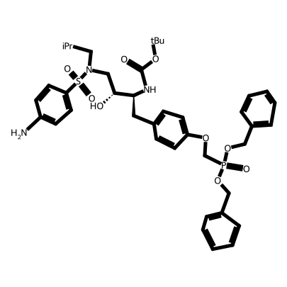 CC(C)CN(C[C@@H](O)[C@H](Cc1ccc(OCP(=O)(OCc2ccccc2)OCc2ccccc2)cc1)NC(=O)OC(C)(C)C)S(=O)(=O)c1ccc(N)cc1